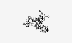 CCCN(CCC)c1nc(-c2cccc(OC)c2)c2c(n1)N(c1ccncc1)CC2